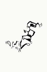 NC(=O)[C@H](CCC(=O)O)N1Cc2c(ccc(-c3cc(CCl)ccn3)c2F)C1=O